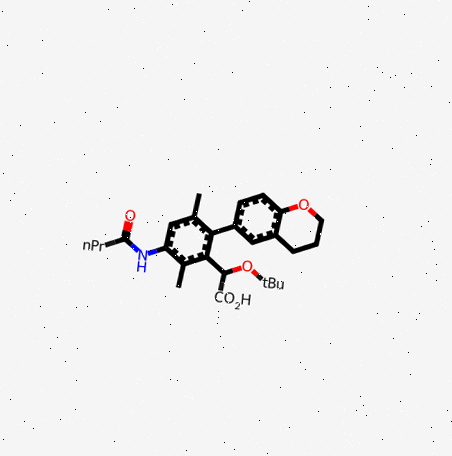 CCCC(=O)Nc1cc(C)c(-c2ccc3c(c2)CCCO3)c(C(OC(C)(C)C)C(=O)O)c1C